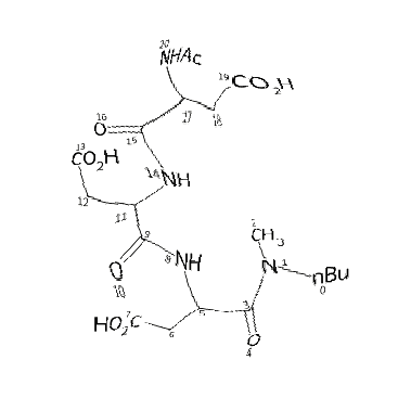 CCCCN(C)C(=O)C(CC(=O)O)NC(=O)C(CC(=O)O)NC(=O)C(CC(=O)O)NC(C)=O